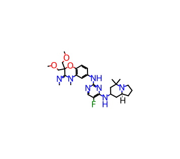 C/N=C1\N(C)c2cc(Nc3ncc(F)c(N[C@@H]4C[C@@H]5CCCN5C(C)(C)C4)n3)ccc2OC1(COC)COC